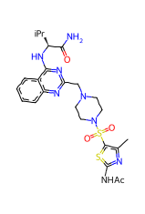 CC(=O)Nc1nc(C)c(S(=O)(=O)N2CCN(Cc3nc(N[C@H](C(N)=O)C(C)C)c4ccccc4n3)CC2)s1